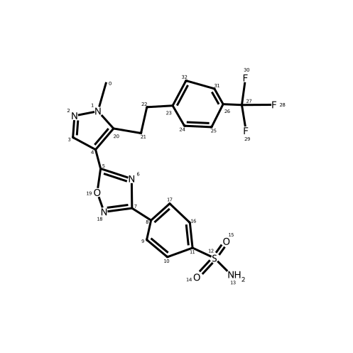 Cn1ncc(-c2nc(-c3ccc(S(N)(=O)=O)cc3)no2)c1CCc1ccc(C(F)(F)F)cc1